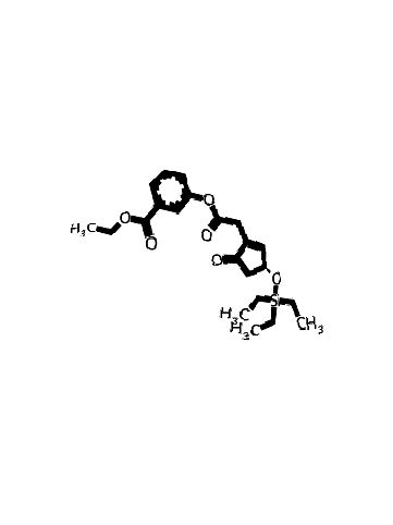 CCOC(=O)c1cccc(OC(=O)CC2=C[C@H](O[Si](CC)(CC)CC)CC2=O)c1